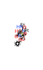 CCNC(=O)CN(CC)C(=O)[S@]1(CO)[C@@H]2CC(=O)N2[C@@H](C(=O)OCc2ccccc2)C1(C)C